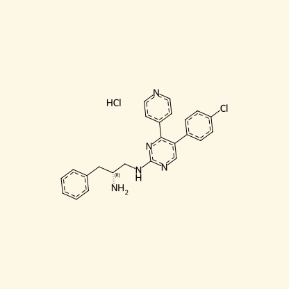 Cl.N[C@@H](CNc1ncc(-c2ccc(Cl)cc2)c(-c2ccncc2)n1)Cc1ccccc1